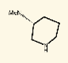 CN[C@@H]1CCCNC1